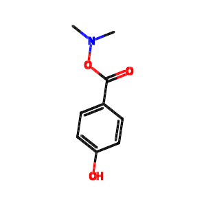 CN(C)OC(=O)c1ccc(O)cc1